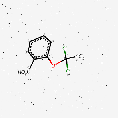 O=C(O)c1ccccc1OC(Cl)(Cl)C(Cl)(Cl)Cl